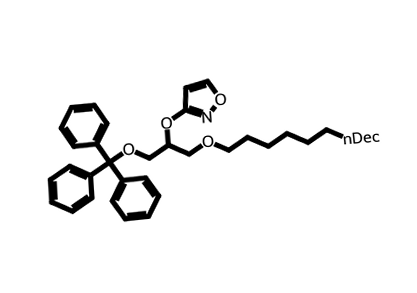 CCCCCCCCCCCCCCCCOCC(COC(c1ccccc1)(c1ccccc1)c1ccccc1)Oc1ccon1